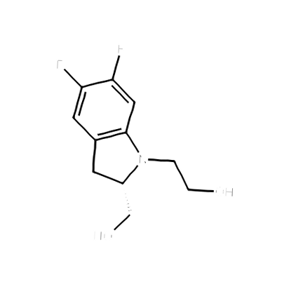 OCCN1c2cc(F)c(F)cc2C[C@H]1CO